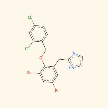 Clc1ccc(COc2c(Br)cc(Br)cc2Cc2ncc[nH]2)c(Cl)c1